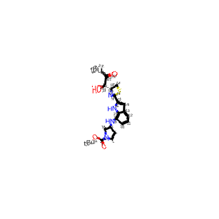 CC(C)(C)OC(=O)N1CCC(Nc2cccc3cc(C4=N[C@H](C(O)C(=O)C(C)(C)C)CS4)[nH]c23)C1